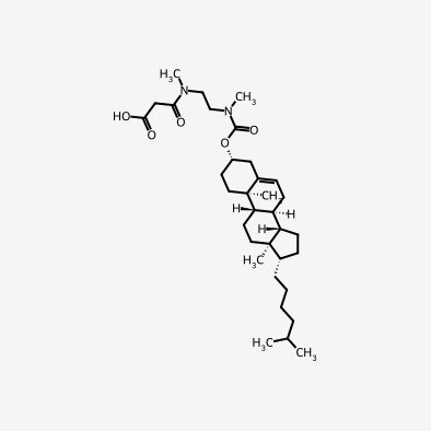 CC(C)CCCC[C@H]1CC[C@H]2[C@@H]3CC=C4C[C@@H](OC(=O)N(C)CCN(C)C(=O)CC(=O)O)CC[C@]4(C)[C@H]3CC[C@]12C